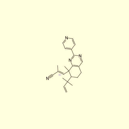 C=CC(C)(C)C1CCc2cnc(-c3ccncc3)nc2C1(C)/C=C(\C)C#N